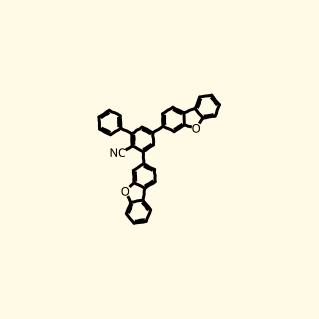 N#Cc1c(-c2ccccc2)cc(-c2ccc3c(c2)oc2ccccc23)cc1-c1ccc2c(c1)oc1ccccc12